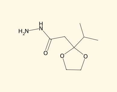 CC(C)C1(CC(=O)NN)OCCO1